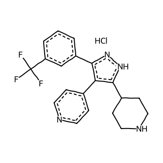 Cl.FC(F)(F)c1cccc(-c2n[nH]c(C3CCNCC3)c2-c2ccncc2)c1